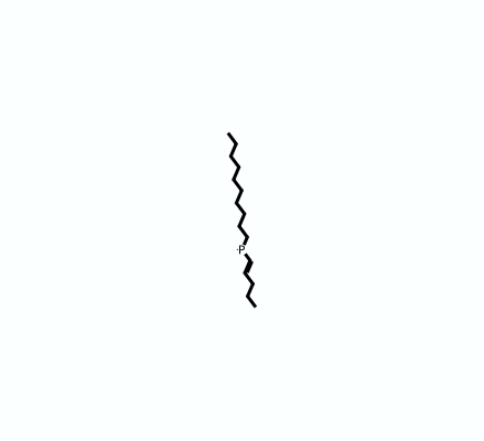 CCC/C=C/[P]CCCCCCCCCC